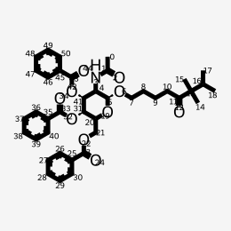 CC(=O)NC1[C@H](OCCCCC(=O)C(C)(C)C(C)C)OC(COC(=O)c2ccccc2)[C@H](OC(=O)c2ccccc2)[C@@H]1OC(=O)c1ccccc1